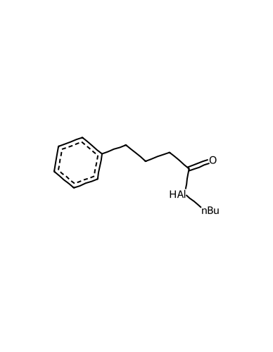 CCC[CH2][AlH][C](=O)CCCc1ccccc1